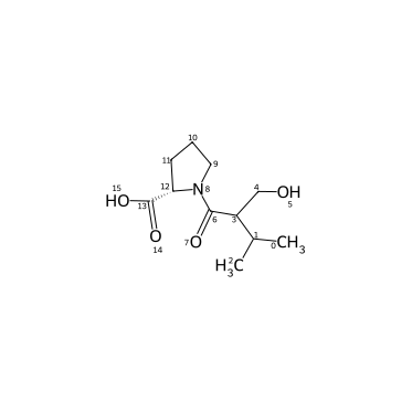 CC(C)C(CO)C(=O)N1CCC[C@H]1C(=O)O